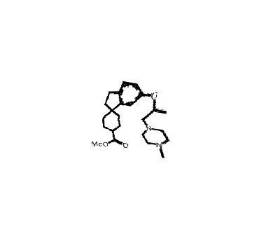 COC(=O)C1CCC2(CCc3ccc(OC(C)CN4CCN(C)CC4)cc32)CC1